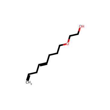 C=CC/C=C/CCCOCCO